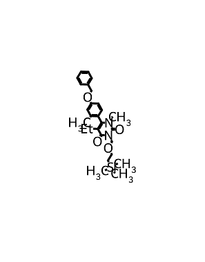 CCc1c(-c2ccc(OCc3ccccc3)cc2C)n(C)c(=O)n(COCC[Si](C)(C)C)c1=O